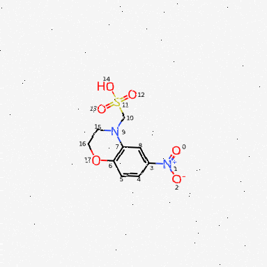 O=[N+]([O-])c1ccc2c(c1)N(CS(=O)(=O)O)CCO2